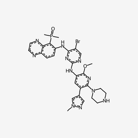 COc1nc(N2CCNCC2)c(-c2cnn(C)c2)cc1Nc1ncc(Br)c(Nc2ccc3nccnc3c2P(C)(C)=O)n1